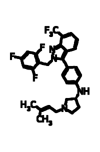 CC(C)=CCN1CC[C@H](Nc2ccc(-c3c4cccc(C(F)(F)F)c4nn3Cc3c(F)cc(F)cc3F)cc2)C1